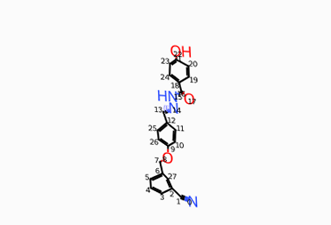 N#Cc1cccc(COc2ccc(/C=N/NC(=O)c3ccc(O)cc3)cc2)c1